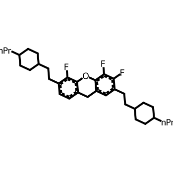 CCCC1CCC(CCc2cc3c(c(F)c2F)Oc2c(ccc(CCC4CCC(CCC)CC4)c2F)C3)CC1